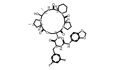 C[C@H]1C[C@H]2C(=O)OC[C@H](NC(=O)[C@H](Cc3cc(F)cc(F)c3)NC(=O)Nc3ccc4c(c3)OCO4)C(=O)N3CCC[C@H]3C(=O)N3CCCC[C@H]3C(=O)N[C@@H](C)C(O)N2C1